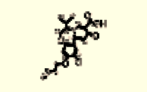 CSCCOc1cc2c(cc1Cl)-c1cc(=O)c(C(=O)O)cn1[C@H](C(C)C)CO2